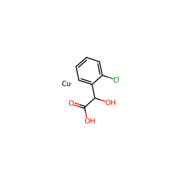 O=C(O)C(O)c1ccccc1Cl.[Cu]